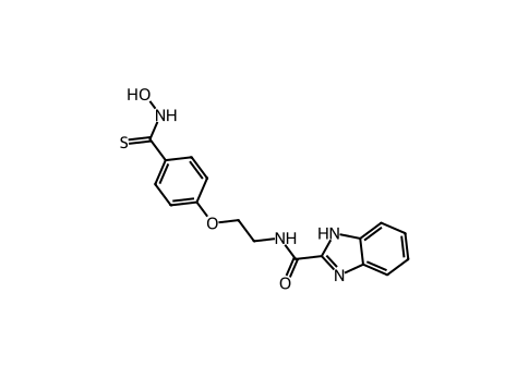 O=C(NCCOc1ccc(C(=S)NO)cc1)c1nc2ccccc2[nH]1